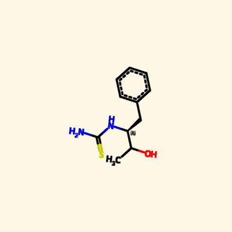 CC(O)[C@H](Cc1ccccc1)NC(N)=S